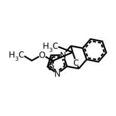 CCOC(=O)C1(C)CC2c3ccccc3C1n1ccnc12